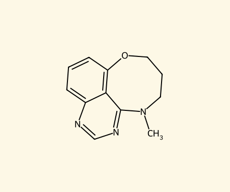 CN1CCCOc2cccc3ncnc1c23